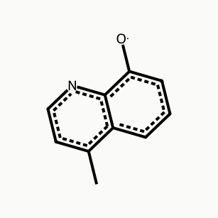 Cc1ccnc2c([O])cccc12